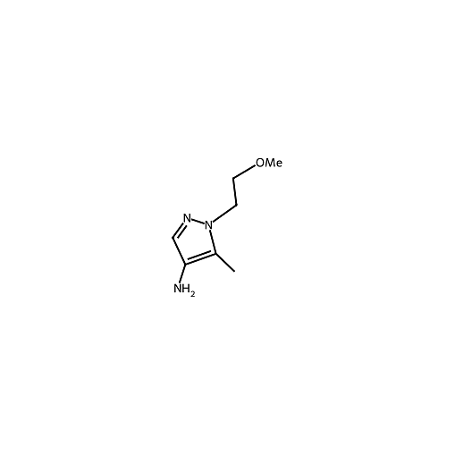 COCCn1ncc(N)c1C